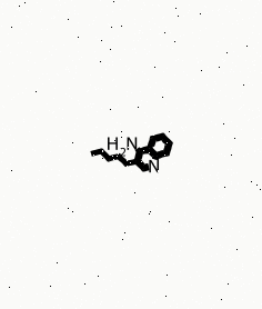 CCCCCc1cnc2ccccc2c1N